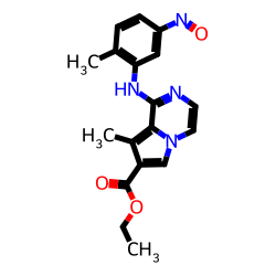 CCOC(=O)c1cn2ccnc(Nc3cc(N=O)ccc3C)c2c1C